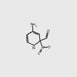 NC1=CC(C=O)([N+](=O)[O-])NC=C1